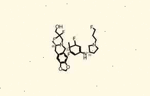 C[C@@H]1Cc2cc3c(cc2[C@@H](C2(C)C(F)=CC(N[C@H]4CCN(CCCF)C4)=CC2F)N1CC(F)(F)CO)OCO3